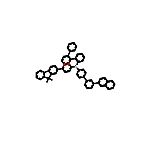 CC1(C)c2ccccc2-c2ccc(-c3ccc(N(c4ccc(-c5cccc(-c6ccc7ccccc7c6)c5)cc4)c4ccccc4-c4ccccc4-c4ccccc4)cc3)cc21